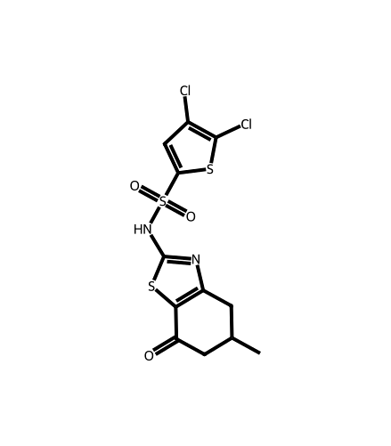 CC1CC(=O)c2sc(NS(=O)(=O)c3cc(Cl)c(Cl)s3)nc2C1